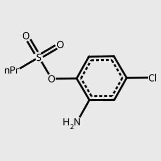 CCCS(=O)(=O)Oc1ccc(Cl)cc1N